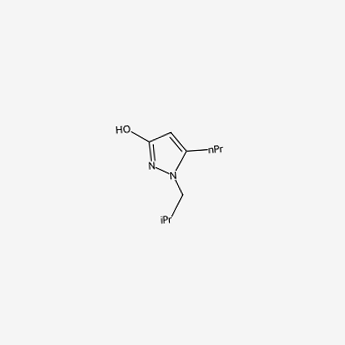 CCCc1cc(O)nn1CC(C)C